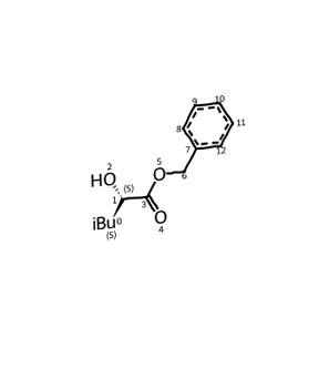 CC[C@H](C)[C@H](O)C(=O)OCc1ccccc1